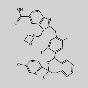 CC1(c2ccc(Cl)cn2)Oc2ccccc2C(c2cc(F)c(Cc3nc4ccc(C(=O)O)cc4n3C[C@@H]3CCO3)cc2F)O1